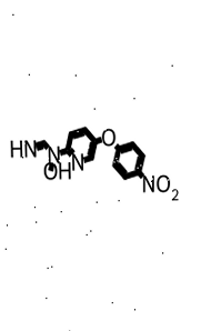 N=CN(O)c1ccc(Oc2ccc([N+](=O)[O-])cc2)cn1